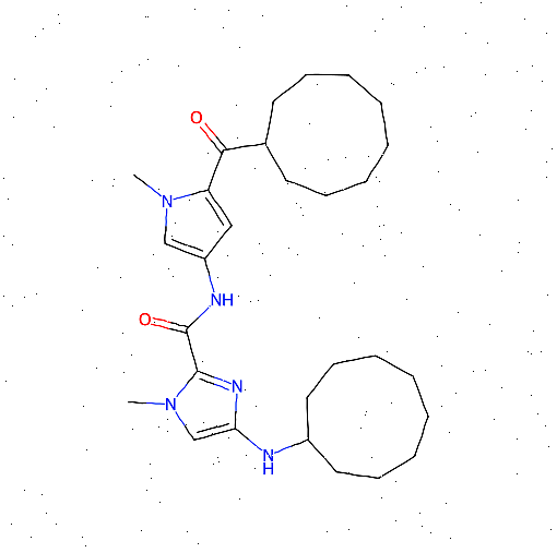 Cn1cc(NC(=O)c2nc(NC3CCCCCCCC3)cn2C)cc1C(=O)C1CCCCCCCC1